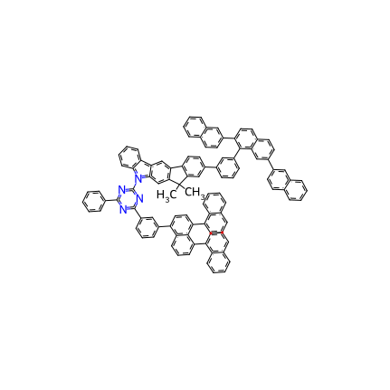 CC1(C)c2cc(-c3cccc(-c4c(-c5ccc6ccccc6c5)ccc5ccc(-c6ccc7ccccc7c6)cc45)c3)ccc2-c2cc3c4ccccc4n(-c4nc(-c5ccccc5)nc(-c5cccc(-c6ccc(-c7cccc8ccccc78)c7c(-c8cccc9ccccc89)cccc67)c5)n4)c3cc21